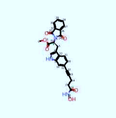 COC(=O)[C@H](Cc1c[nH]c2cc(C#CCCC(=O)NO)ccc12)N1C(=O)c2ccccc2C1=O